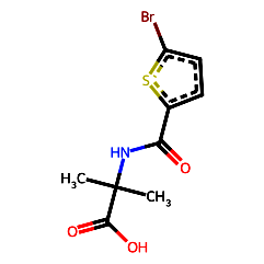 CC(C)(NC(=O)c1ccc(Br)s1)C(=O)O